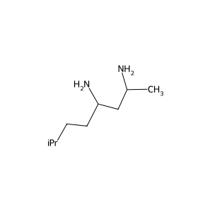 CC(C)CCC(N)CC(C)N